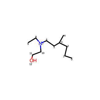 CCCC(C)CCN(CC)CCO